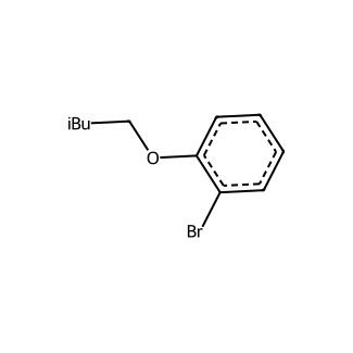 CCC(C)COc1ccccc1Br